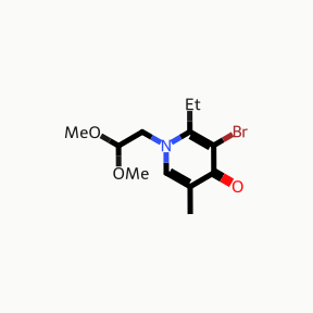 CCc1c(Br)c(=O)c(C)cn1CC(OC)OC